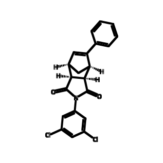 O=C1[C@@H]2[C@H](C(=O)N1c1cc(Cl)cc(Cl)c1)[C@H]1C[C@@H]2C=C1c1ccccc1